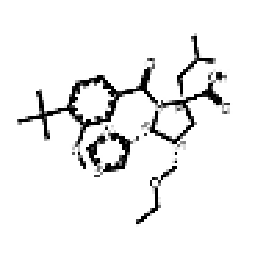 CCOC[C@H]1C[C@@](CC(C)C)(C(=O)O)N(C(=O)c2ccc(C(C)(C)C)c(OC)c2)[C@H]1c1cscn1